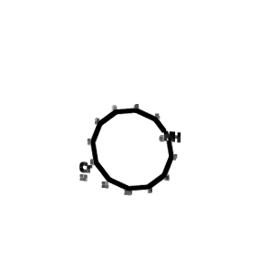 C1CCCCCNCCCCC1.[Cr]